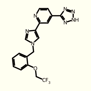 FC(F)(F)COc1ccccc1Cn1cnc(-c2cc(-c3nn[nH]n3)ccn2)c1